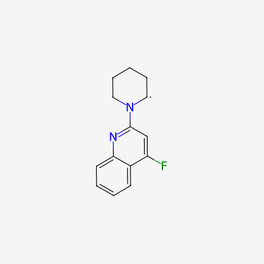 Fc1cc(N2[CH]CCCC2)nc2ccccc12